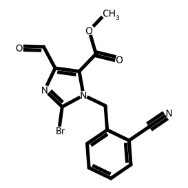 COC(=O)c1c(C=O)nc(Br)n1Cc1ccccc1C#N